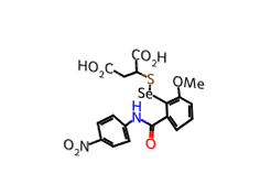 COc1cccc(C(=O)Nc2ccc([N+](=O)[O-])cc2)c1[Se]SC(CC(=O)O)C(=O)O